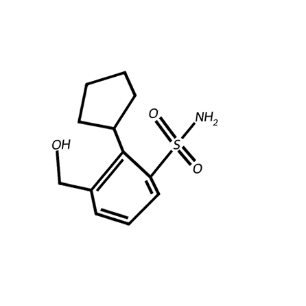 NS(=O)(=O)c1cccc(CO)c1C1CCCC1